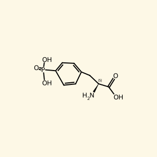 N[C@@H](Cc1ccc(P(=O)(O)O)cc1)C(=O)O